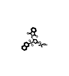 CC(C)(C)[Si](C)(C)O[C@@H]1C[C@@H](CN2C(=O)c3ccccc3C2=O)N(S(=O)(=O)c2ccc3ccccc3c2)C1